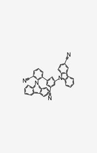 N#Cc1cc(-c2cccc(C#N)c2-n2c3ccccc3c3ccccc32)cc(-n2c3ccccc3c3cc(C#N)ccc32)c1